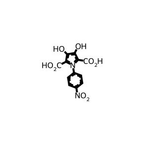 O=C(O)c1c(O)c(O)c(C(=O)O)n1-c1ccc([N+](=O)[O-])cc1